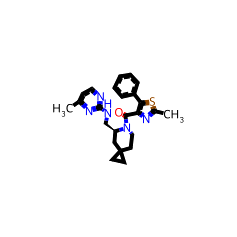 Cc1ccnc(NC[C@@H]2CC3(CCN2C(=O)c2nc(C)sc2-c2ccccc2)CC3)n1